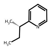 CC[C@H](C)c1ccccn1